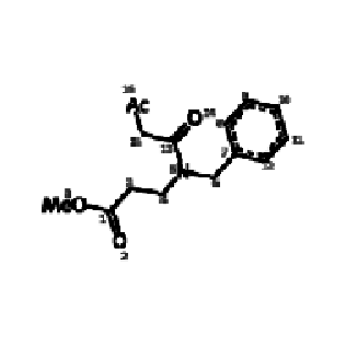 COC(=O)CCN(Cc1ccccc1)C(=O)CC(C)=O